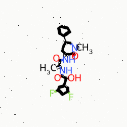 C[C@H](NC(=O)[C@@H](O)c1cc(F)cc(F)c1)C(=O)N[C@H]1CC[C@@H](c2ccccc2)CN(C)C1=O